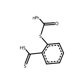 CCCC(=O)Sc1ccccc1C(=S)S